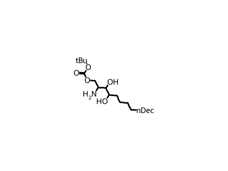 CCCCCCCCCCCCCCC(O)C(O)C(N)COC(=O)OC(C)(C)C